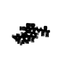 CNC(=O)NCCCN(C(=O)[C@H]1O[C@@H](n2cc(-c3ccn(C)n3)c3c(N)ncnc32)[C@H](O)[C@@H]1O)C1CCN(C)CC1